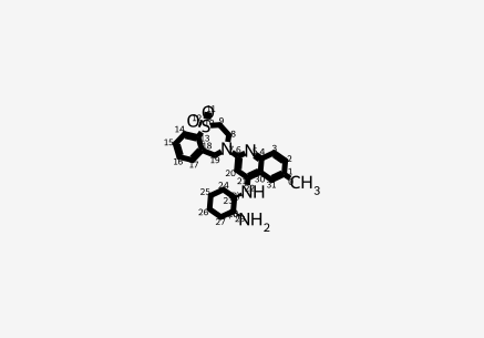 Cc1ccc2nc(N3CCS(=O)(=O)c4ccccc4C3)cc(N[C@@H]3CCCC[C@H]3N)c2c1